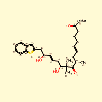 COC(=O)CCCC=CC[C@H](C#N)C(=O)C(C)(C)[C@@H](O)CC=CC(O)Cc1cc2ccccc2s1